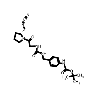 CC(C)(C)OC(=O)Nc1ccc(CNC(=O)NCC(=O)N2CCC[C@@H]2CN=[N+]=[N-])cc1